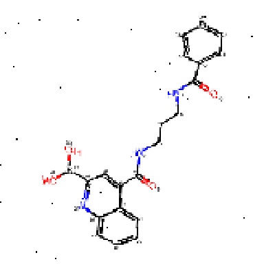 O=C(NCCCNC(=O)c1cc(B(O)O)nc2ccccc12)c1ccbcc1